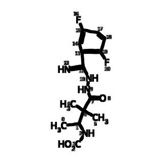 CC(NC(=O)O)C(C)(C)C(=O)NNC(=N)c1cc(F)ccc1F